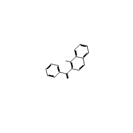 O=C(c1ccccc1)c1ccc2ccccc2c1O